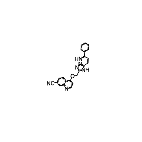 N#Cc1ccc2c(OCc3nnc(/C=C\C(=N)c4ccccc4)[nH]3)ccnc2c1